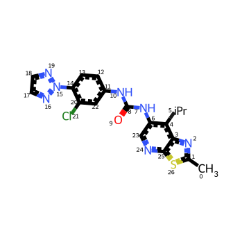 Cc1nc2c(C(C)C)c(NC(=O)Nc3ccc(-n4nccn4)c(Cl)c3)cnc2s1